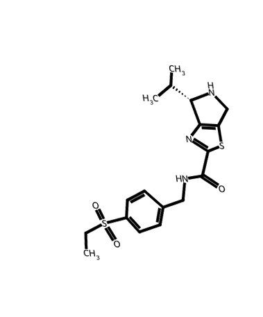 CCS(=O)(=O)c1ccc(CNC(=O)c2nc3c(s2)CN[C@H]3C(C)C)cc1